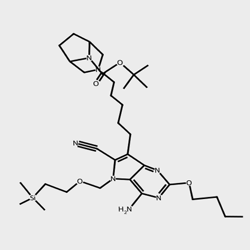 CCCCOc1nc(N)c2c(n1)c(CCCCCN1CC3CCC(C1)N3C(=O)OC(C)(C)C)c(C#N)n2COCC[Si](C)(C)C